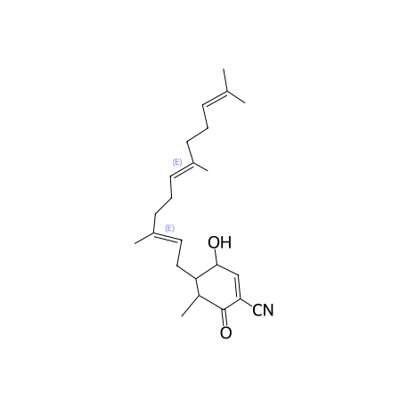 CC(C)=CCC/C(C)=C/CC/C(C)=C/CC1C(O)C=C(C#N)C(=O)C1C